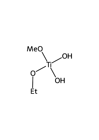 CC[O][Ti]([OH])([OH])[O]C